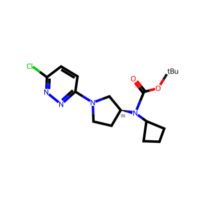 CC(C)(C)OC(=O)N(C1CCC1)[C@H]1CCN(c2ccc(Cl)nn2)C1